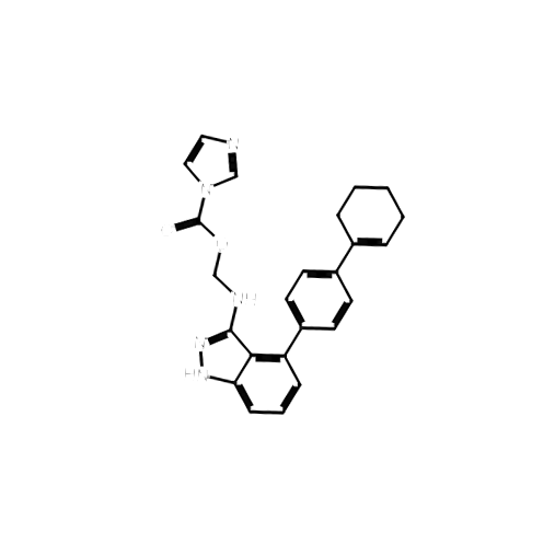 O=C(OCNc1n[nH]c2cccc(-c3ccc(C4=CCCCC4)cc3)c12)n1ccnc1